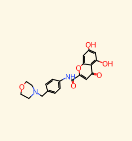 O=C(Nc1ccc(CN2CCOCC2)cc1)c1cc(=O)c2c(O)cc(O)cc2o1